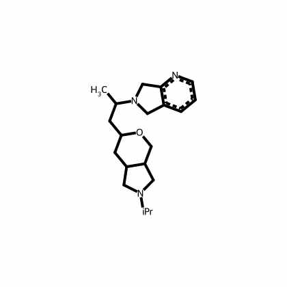 CC(C)N1CC2COC(CC(C)N3Cc4cccnc4C3)CC2C1